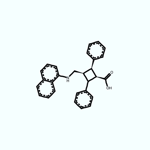 O=C(O)[C@H]1C(c2ccccc2)[C@@H](CNc2cccc3ccccc23)[C@H]1c1ccccc1